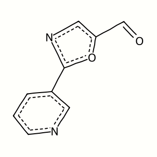 O=Cc1cnc(-c2cccnc2)o1